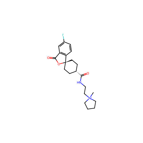 C[N+]1(CCNC(=O)[C@H]2CC[C@@]3(CC2)OC(=O)c2cc(F)ccc23)CCCC1